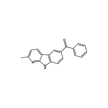 Cc1ccc2c(n1)[nH]c1ccc(C(=O)c3ccccc3)cc12